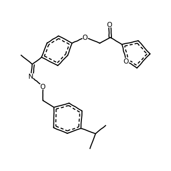 CC(=NOCc1ccc(C(C)C)cc1)c1ccc(OCC(=O)c2ccco2)cc1